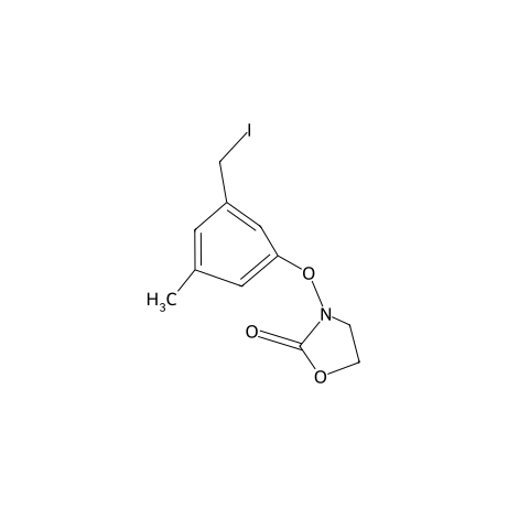 Cc1cc(CI)cc(ON2CCOC2=O)c1